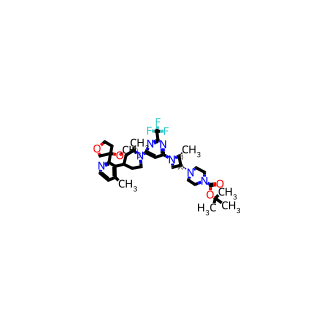 COC1(c2nccc(C)c2C2CCN(c3cc(N4C[C@@H](N5CCN(C(=O)OC(C)(C)C)CC5)[C@H]4C)nc(C(F)(F)F)n3)[C@H](C)C2)CCOC1